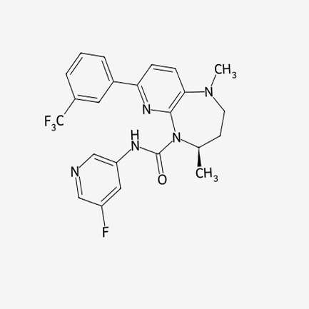 C[C@@H]1CCN(C)c2ccc(-c3cccc(C(F)(F)F)c3)nc2N1C(=O)Nc1cncc(F)c1